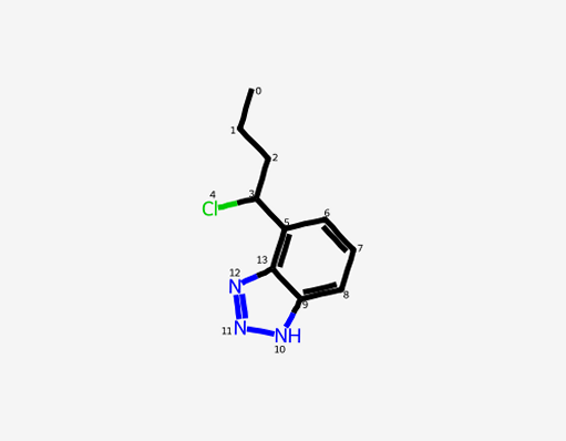 CCCC(Cl)c1cccc2[nH]nnc12